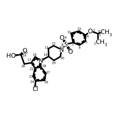 CC(C)Oc1ccc(S(=O)(=O)N2CCC(n3cc(CC(=O)O)c4cc(Cl)ccc43)CC2)cc1